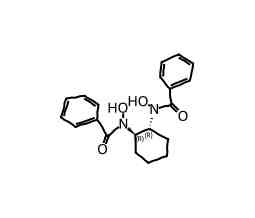 O=C(c1ccccc1)N(O)[C@@H]1CCCC[C@H]1N(O)C(=O)c1ccccc1